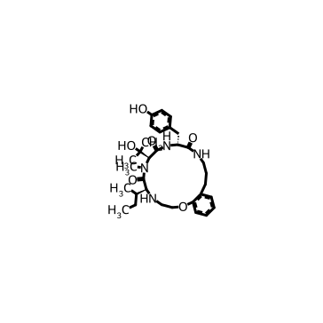 CCC(C)[C@@H]1NCCOc2ccccc2CCCNC(=O)[C@@H](Cc2ccc(O)cc2)NC(=O)[C@H](C(C)(C)O)N(C)C1=O